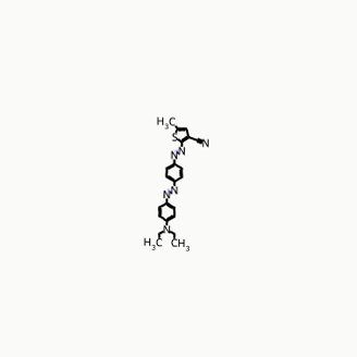 CCN(CC)c1ccc(/N=N/c2ccc(/N=N/c3sc(C)cc3C#N)cc2)cc1